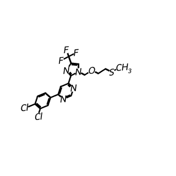 CSCCOCn1cc(C(F)(F)F)nc1-c1cc(-c2ccc(Cl)c(Cl)c2)ncn1